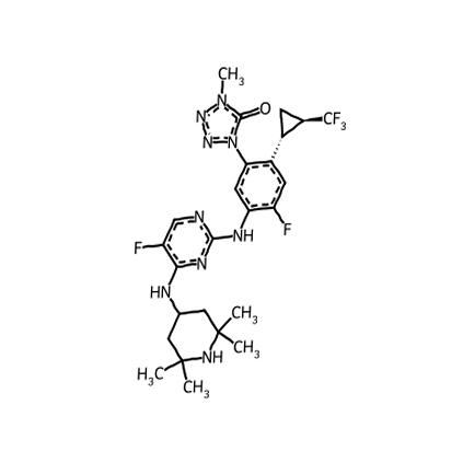 Cn1nnn(-c2cc(Nc3ncc(F)c(NC4CC(C)(C)NC(C)(C)C4)n3)c(F)cc2[C@@H]2C[C@H]2C(F)(F)F)c1=O